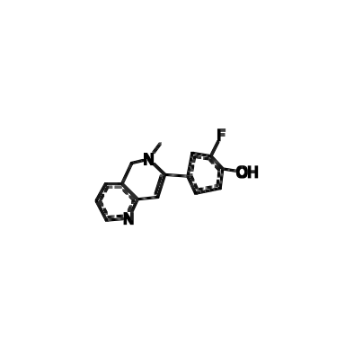 CN1Cc2cccnc2C=C1c1ccc(O)c(F)c1